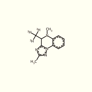 [2H]C([2H])([2H])C1c2nc(C)nn2-c2ccccc2N1C